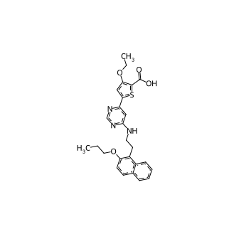 CCCOc1ccc2ccccc2c1CCNc1cc(-c2cc(OCC)c(C(=O)O)s2)ncn1